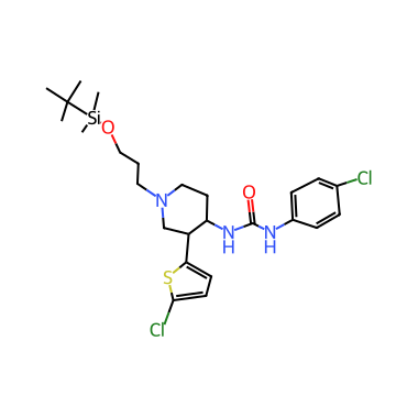 CC(C)(C)[Si](C)(C)OCCCN1CCC(NC(=O)Nc2ccc(Cl)cc2)C(c2ccc(Cl)s2)C1